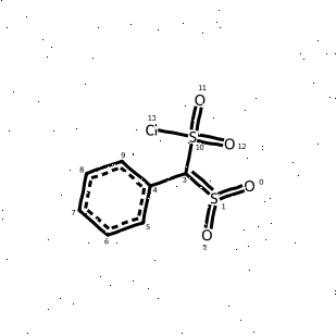 O=S(=O)=C(c1ccccc1)S(=O)(=O)Cl